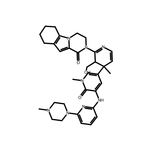 CN1CCN(c2cccc(Nc3cc(C4(C)C=CN=C(N5CCn6c(cc7c6CCCC7)C5=O)C4CO)cn(C)c3=O)n2)CC1